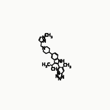 Cc1cc2nnnn2cc1-c1[nH]c2ccc(C3CCN(Cc4ccn(C)n4)CC3)cc2c1C(C)C